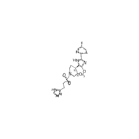 C[C@H]1CN(S(=O)(=O)CCc2nnc[nH]2)CC[C@H]1c1[nH]c(-c2ccc(F)cn2)nc1Cl